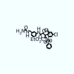 C=C(C(=O)Nc1cccc(CNC(N)=O)c1)c1c(C(=O)OCC)n(S(=O)(=O)c2ccccc2)c2cc(Cl)cc(Cl)c12